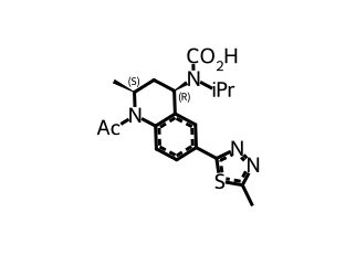 CC(=O)N1c2ccc(-c3nnc(C)s3)cc2[C@H](N(C(=O)O)C(C)C)C[C@@H]1C